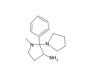 CN1CCC(N)C1(c1ccccc1)N1CCCC1